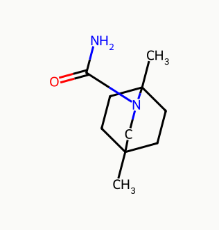 CC12CCC(C)(CC1)N(C(N)=O)C2